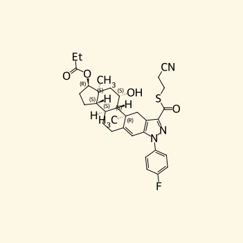 CCC(=O)O[C@@H]1CC[C@H]2[C@@H]3CCC4=Cc5c(c(C(=O)SCCC#N)nn5-c5ccc(F)cc5)C[C@]4(C)[C@H]3[C@@H](O)C[C@]12C